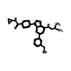 CC(C)CNc1cc(-c2cccc(CO)c2)nn2c(-c3ccc(C(=O)NC4CC4)cc3)cnc12